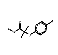 CC(C)OC(=O)C(C)(C)Oc1ccc(I)cc1